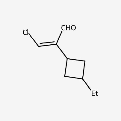 CCC1CC(C(C=O)=CCl)C1